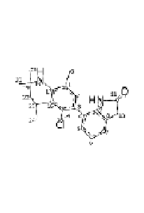 Cc1cc(-c2cccc3c2NC(=O)C3)c(Cl)c2c1NC(C)(C)CC2C